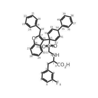 O=C(O)C(Cc1cccc(F)c1)NCS(=O)(=O)C1(c2c(Cc3ccccc3)oc3ccccc23)C=CC(c2ccccc2)C=C1